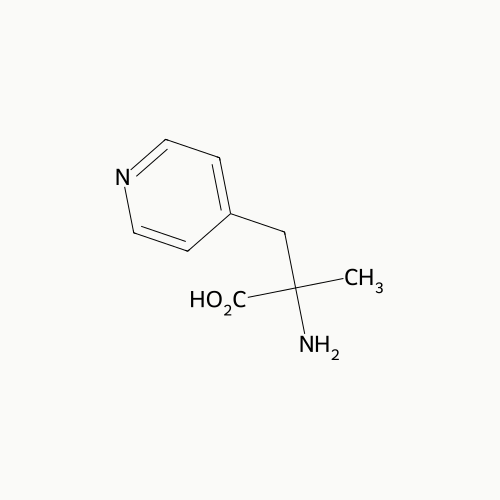 CC(N)(Cc1ccncc1)C(=O)O